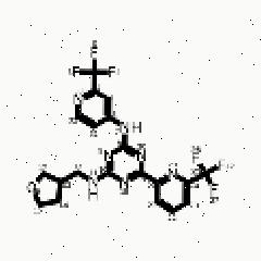 FC(F)(F)c1cc(Nc2nc(NCC3CCOC3)nc(-c3cccc(C(F)(F)F)n3)n2)ccn1